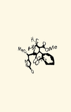 CCOC(=O)C1=C(C(OC)C2=CC(=O)N=N2)NC(C)=C(C(=O)OC)C1c1ccccc1Cl